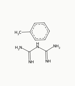 Cc1ccccc1.N=C(N)NC(=N)N